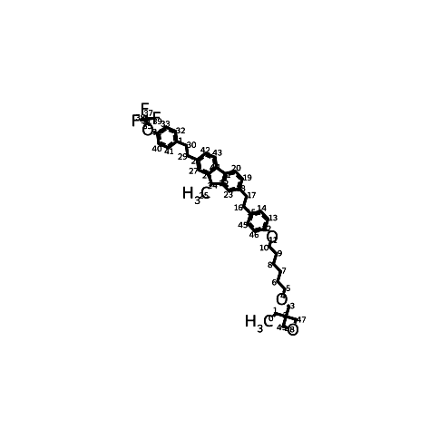 CCC1(COCCCCCCOc2ccc(CCc3ccc4c(c3)C(C)c3cc(CCc5ccc(OC(F)(F)F)cc5)ccc3-4)cc2)COC1